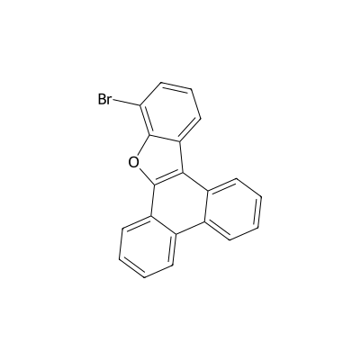 Brc1cccc2c1oc1c3ccccc3c3ccccc3c21